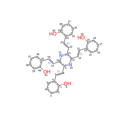 Oc1ccccc1/C=C/c1nc(/C=C/c2ccccc2O)c(/C=C/c2ccccc2O)nc1/C=C/c1ccccc1O